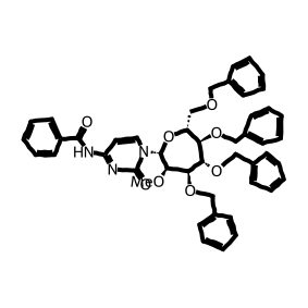 CO[C@@H]1[C@H](OCc2ccccc2)[C@@H](OCc2ccccc2)[C@H](OCc2ccccc2)[C@@H](COCc2ccccc2)O[C@H]1n1ccc(NC(=O)c2ccccc2)nc1=O